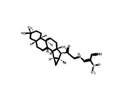 C[S+]([O-])/C(C=N)=C/NCC(=O)[C@H]1[C@H]2C[C@H]2[C@H]2[C@@H]3CC[C@@H]4C[C@](C)(O)CC[C@@H]4[C@H]3CC[C@@]21C